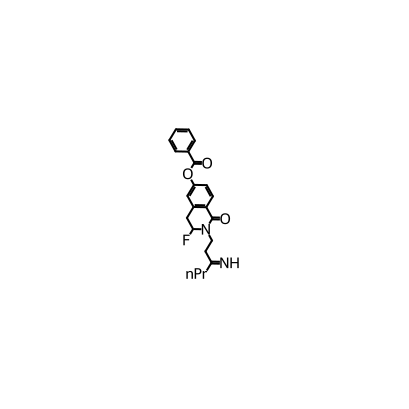 CCCC(=N)CCN1C(=O)c2ccc(OC(=O)c3ccccc3)cc2CC1F